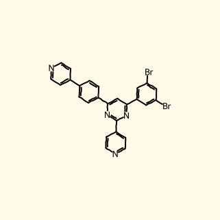 Brc1cc(Br)cc(-c2cc(-c3ccc(-c4ccncc4)cc3)nc(-c3ccncc3)n2)c1